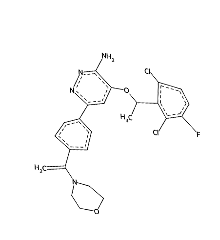 C=C(c1ccc(-c2cc(OC(C)c3c(Cl)ccc(F)c3Cl)c(N)nn2)cc1)N1CCOCC1